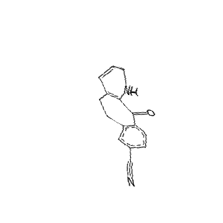 N#Cc1ccc2c(c1)CCC1=C(NCC=C1)C2=O